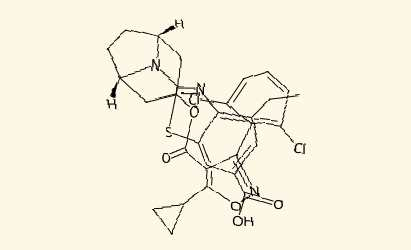 CCc1cc(C(=O)O)cc2sc(N3[C@@H]4CC[C@H]3CC(OC(=O)c3c(-c5c(Cl)cccc5Cl)noc3C3CC3)C4)nc12